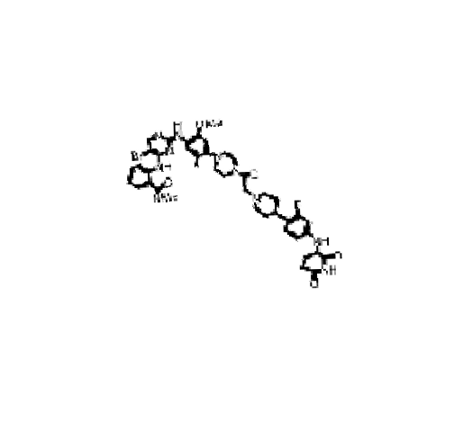 CNC(=O)c1ccccc1Nc1nc(Nc2cc(C)c(N3CCN(C(=O)CN4CCC(c5ccc(NC6CCC(=O)NC6=O)cc5F)CC4)CC3)cc2OC)ncc1Br